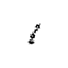 CC1(C)OB(c2ccc(OCCCN3CC[C@@H](F)C3)nc2)OC1(C)C